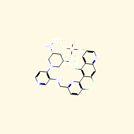 C[C@H]1CN(c2ccncc2NCc2ccc(F)c(-c3c(F)cc4ncccc4c3F)n2)C[C@@H](NC(=O)O)[C@@H]1O[Si](C)(C)C(C)(C)C